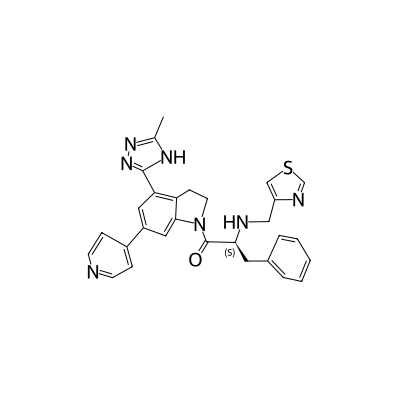 Cc1nnc(-c2cc(-c3ccncc3)cc3c2CCN3C(=O)[C@H](Cc2ccccc2)NCc2cscn2)[nH]1